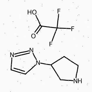 O=C(O)C(F)(F)F.c1cn(C2CCNC2)nn1